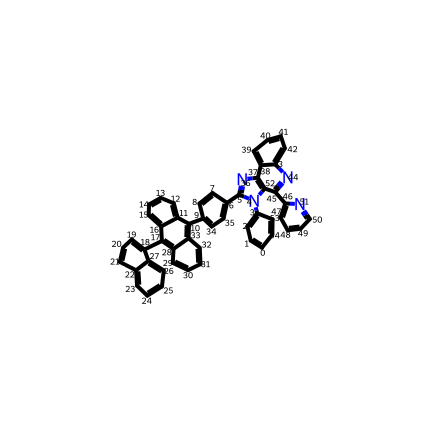 c1ccc(-n2c(-c3ccc(-c4c5ccccc5c(-c5cccc6ccccc56)c5ccccc45)cc3)nc3c4ccccc4nc(-c4ccccn4)c32)cc1